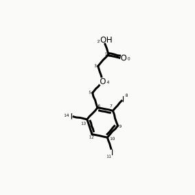 O=C(O)COCc1c(I)cc(I)cc1I